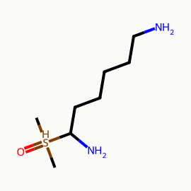 C[SH](C)(=O)C(N)CCCCCN